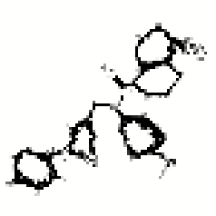 CC(C)c1ccc(N(Cc2cnn(-c3ccccc3)c2)C(=O)C2CCCc3c(O)cccc32)cc1